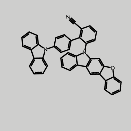 N#Cc1cccc(-n2c3ccccc3c3cc4c(cc32)oc2ccccc24)c1-c1ccc(-n2c3ccccc3c3ccccc32)cc1